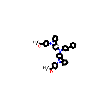 CC(=O)c1ccc(-n2c3ccccc3c3cc(N(c4ccc(-c5ccccc5)cc4)c4ccc5c(c4)c4ccccc4n5-c4ccc(C(C)=O)cc4)ccc32)cc1